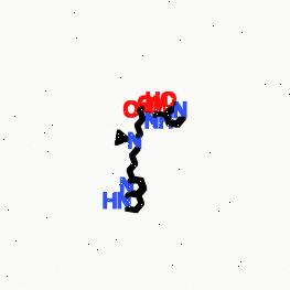 O=C(NC(CCN(CCCCc1ccc2c(n1)NCCC2)C1CC1)C(=O)O)c1cccnc1O